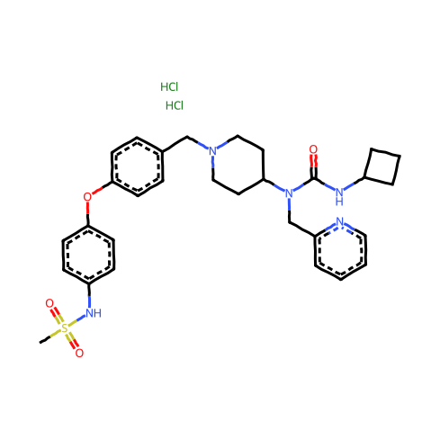 CS(=O)(=O)Nc1ccc(Oc2ccc(CN3CCC(N(Cc4ccccn4)C(=O)NC4CCC4)CC3)cc2)cc1.Cl.Cl